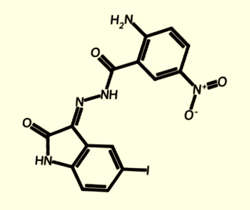 Nc1ccc([N+](=O)[O-])cc1C(=O)N/N=C1/C(=O)Nc2ccc(I)cc21